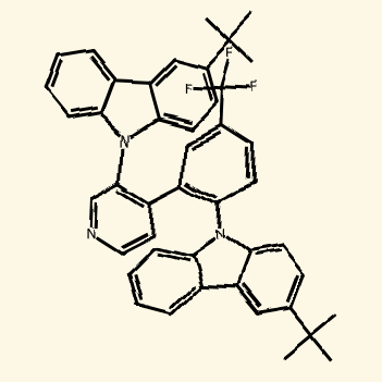 CC(C)(C)c1ccc2c(c1)c1ccccc1n2-c1ccc(C(F)(F)F)cc1-c1ccncc1-n1c2ccccc2c2cc(C(C)(C)C)ccc21